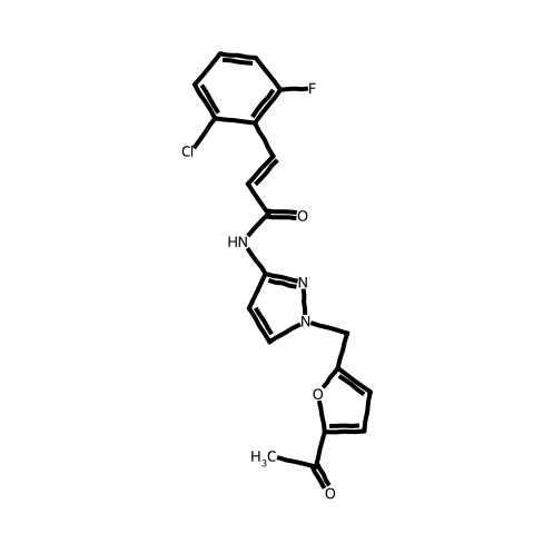 CC(=O)c1ccc(Cn2ccc(NC(=O)C=Cc3c(F)cccc3Cl)n2)o1